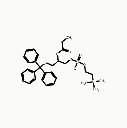 CCC(=O)O[C@H](COC(c1ccccc1)(c1ccccc1)c1ccccc1)COP(=O)([O-])OCC[N+](C)(C)C